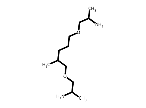 CC(N)COCCCC(C)COCC(C)N